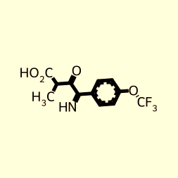 CC(C(=O)O)C(=O)C(=N)c1ccc(OC(F)(F)F)cc1